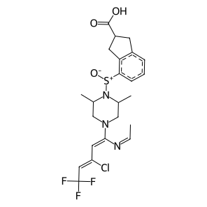 C\C=N/C(=C\C(Cl)=C\C(F)(F)F)N1CC(C)N([S+]([O-])c2cccc3c2CC(C(=O)O)C3)C(C)C1